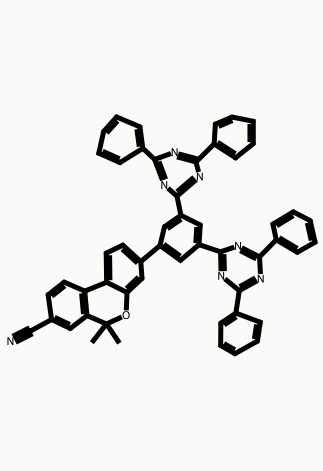 CC1(C)Oc2cc(-c3cc(-c4nc(-c5ccccc5)nc(-c5ccccc5)n4)cc(-c4nc(-c5ccccc5)nc(-c5ccccc5)n4)c3)ccc2-c2ccc(C#N)cc21